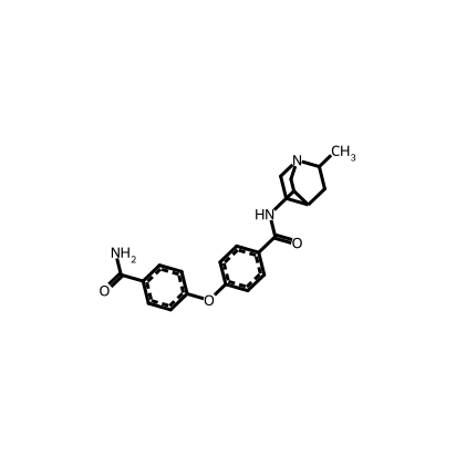 CC1CC2CCN1CC2NC(=O)c1ccc(Oc2ccc(C(N)=O)cc2)cc1